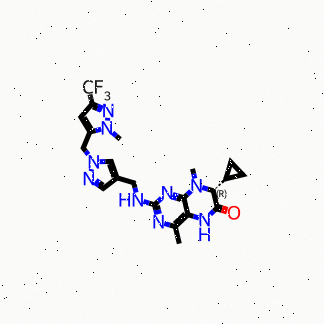 Cc1nc(NCc2cnn(Cc3cc(C(F)(F)F)nn3C)c2)nc2c1NC(=O)[C@@H](C1CC1)N2C